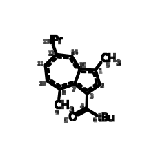 Cc1cc(C(=O)C(C)(C)C)c2c(C)ccc(C(C)C)cc1-2